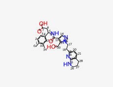 Cc1ccc(C(CC(=O)O)NC(=O)c2cnn(CCc3ccc4c(n3)NCCC4)c2CO)cc1C